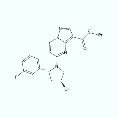 CC(C)NC(=O)c1cnn2ccc(N3C[C@@H](O)C[C@@H]3c3cccc(F)c3)nc12